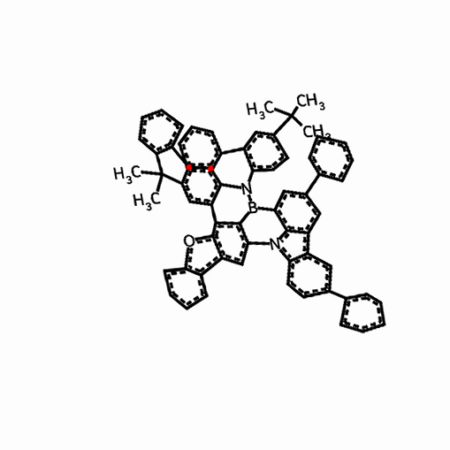 CC(C)(C)c1ccc(N2B3c4c(cc5c(oc6ccccc65)c4-c4cc5c(cc42)-c2ccccc2C5(C)C)-n2c4ccc(-c5ccccc5)cc4c4cc(-c5ccccc5)cc3c42)c(-c2ccccc2)c1